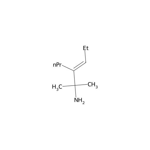 CC/C=C(\CCC)C(C)(C)N